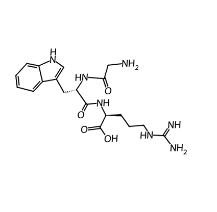 N=C(N)NCCC[C@H](NC(=O)[C@H](Cc1c[nH]c2ccccc12)NC(=O)CN)C(=O)O